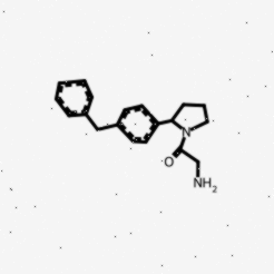 NCC(=O)N1CCCC1c1ccc(Cc2ccccc2)cc1